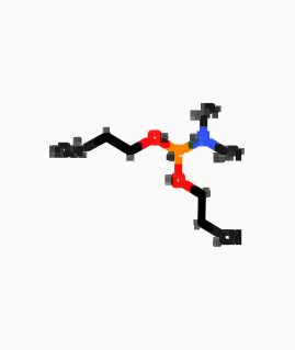 CCCCCCCCCCCCOP(OCCC#N)N(C(C)C)C(C)C